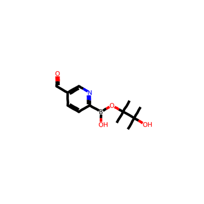 CC(C)(O)C(C)(C)OB(O)c1ccc(C=O)cn1